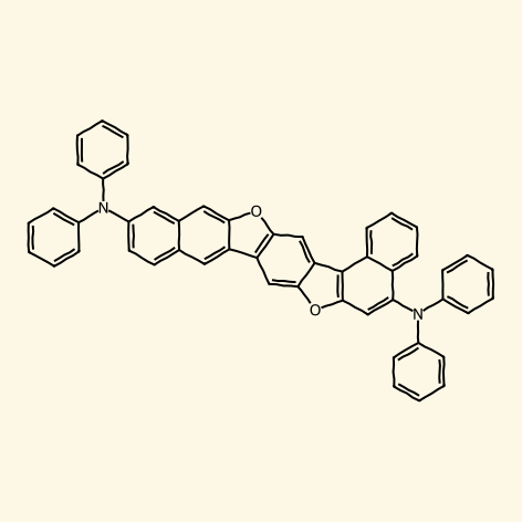 c1ccc(N(c2ccccc2)c2ccc3cc4c(cc3c2)oc2cc3c(cc24)oc2cc(N(c4ccccc4)c4ccccc4)c4ccccc4c23)cc1